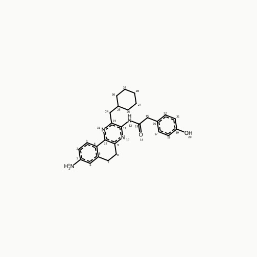 Nc1ccc2c(c1)CCc1nc(NC(=O)Cc3ccc(O)cc3)c(CC3CCCCC3)nc1-2